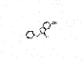 O=C1c2cc(O)ccc2CN1Cc1ccccc1